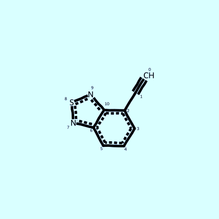 C#Cc1cccc2nsnc12